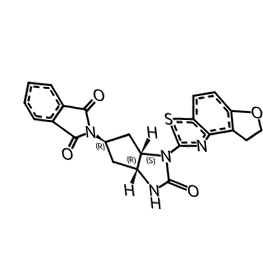 O=C1c2ccccc2C(=O)N1[C@@H]1C[C@H]2NC(=O)N(c3nc4c5c(ccc4s3)OCC5)[C@H]2C1